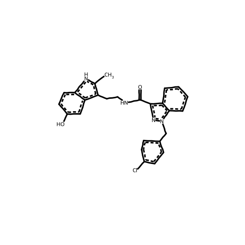 Cc1[nH]c2ccc(O)cc2c1CCNC(=O)c1nn(Cc2ccc(Cl)cc2)c2ccccc12